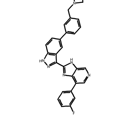 Fc1cccc(-c2cncc3[nH]c(-c4n[nH]c5ccc(-c6cccc(CN7CCC7)c6)cc45)nc23)c1